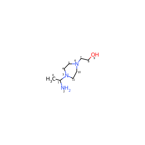 CC(N)N1CCN(CCO)CC1